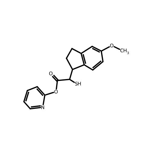 COc1ccc2c(c1)CCC2C(S)C(=O)Oc1ccccn1